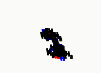 Cc1cc(O[C@H]2C(C)(C)[C@H](NC(=O)c3ccc(N4CCN(CCOCC(=O)N[C@H](C(=O)N5C[C@H](O)C[C@H]5C(=O)N[C@@H](C)c5ccc(-c6scnc6C)cc5)C(C)(C)C)CC4)nc3)C2(C)C)cc(Cl)c1C#N